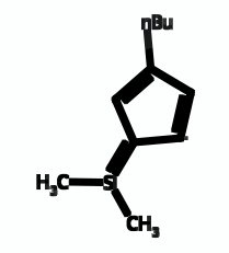 CCCCC1=CC(=[Si](C)C)[C]=C1